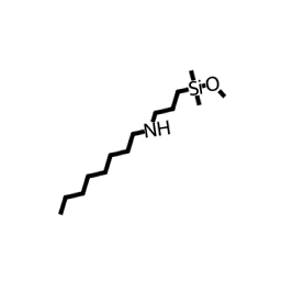 CCCCCCCCNCCC[Si](C)(C)OC